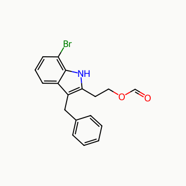 O=COCCc1[nH]c2c(Br)cccc2c1Cc1ccccc1